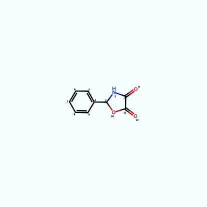 O=C1NC(c2ccccc2)OC1=O